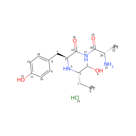 CC(C)C[C@@H](CO)N[C@@H](Cc1ccc(O)cc1)C(=O)NC(=O)[C@@H](N)C(C)C.Cl